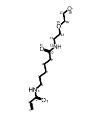 C=CC(=O)NCCCCCC(=O)NCCOCC[O]